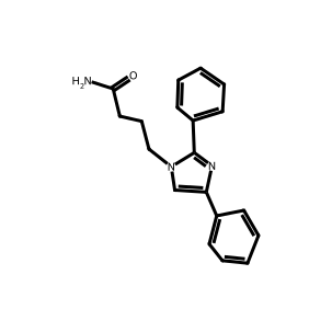 NC(=O)CCCn1cc(-c2ccccc2)nc1-c1ccccc1